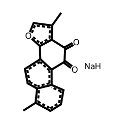 Cc1coc2c1C(=O)C(=O)c1c-2ccc2c(C)cccc12.[NaH]